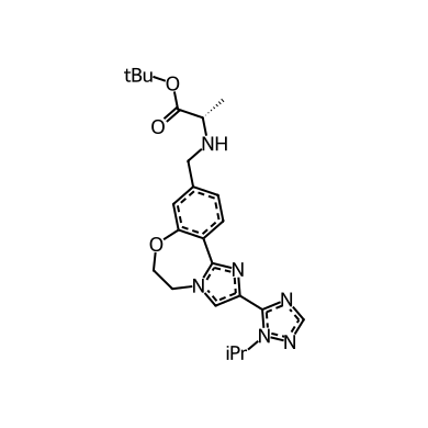 CC(C)n1ncnc1-c1cn2c(n1)-c1ccc(CN[C@@H](C)C(=O)OC(C)(C)C)cc1OCC2